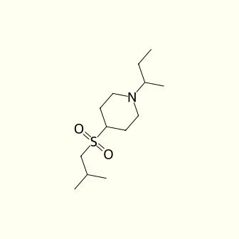 CCC(C)N1CCC(S(=O)(=O)CC(C)C)CC1